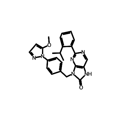 COc1ccnn1-c1ccc(Cn2c(=O)[nH]c3cnc(-c4ccccc4C(C)C)nc32)cc1